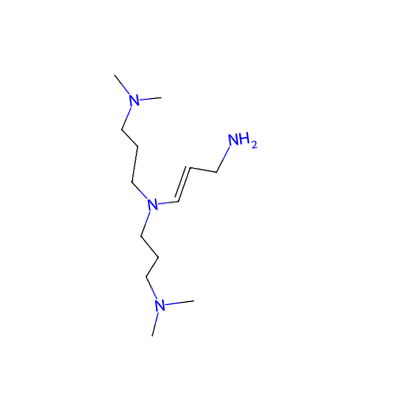 CN(C)CCCN(C=CCN)CCCN(C)C